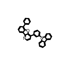 c1ccc(-c2cccc3c2oc2c(-c4cccc(-n5c6ccccc6c6ccccc65)c4)ccnc23)cc1